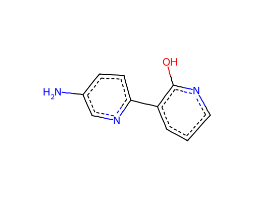 Nc1ccc(-c2cccnc2O)nc1